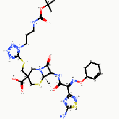 CC(C)(C)OC(=O)NCCCn1nnnc1SCC1(C(=O)O)CS[C@@H]2C(NC(=O)C(=NOC3C=CCCC3)c3nsc(N)n3)C(=O)N2C1